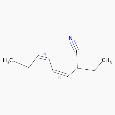 CC/C=C\C=C/C(C#N)CC